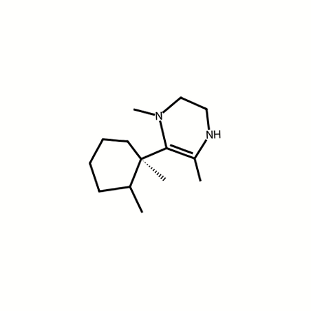 CC1=C([C@]2(C)CCCCC2C)N(C)CCN1